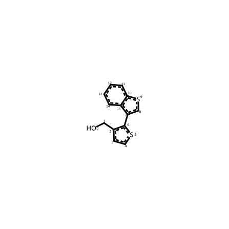 OCc1ccsc1-c1csc2ccccc12